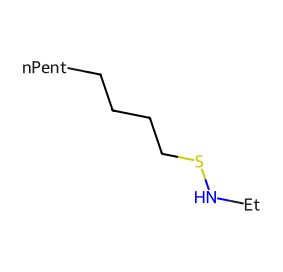 CCCCCCCCCSNCC